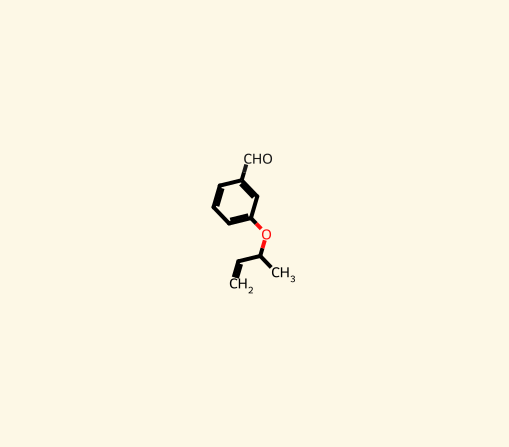 C=CC(C)Oc1cccc(C=O)c1